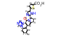 Cc1ccc(-n2cnnn2)c(-c2cc3n(c(=O)c2)[C@H](c2ncc(-c4ccc(C(=O)O)s4)[nH]2)CC3)c1